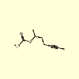 CC#CCCC(C)OC(N)=O